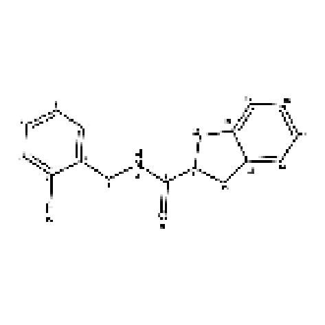 O=C(NCc1ccccc1F)C1Cc2ccccc2C1